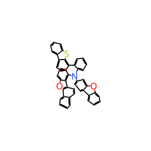 c1ccc(N(c2ccc3c(c2)oc2ccccc23)c2cccc3oc4c5ccccc5ccc4c23)c(-c2cccc3c2sc2ccccc23)c1